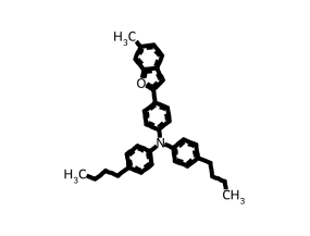 CCCCc1ccc(N(c2ccc(CCCC)cc2)c2ccc(-c3cc4ccc(C)cc4o3)cc2)cc1